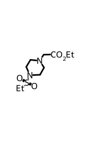 CCOC(=O)CN1CCN(S(=O)(=O)CC)CC1